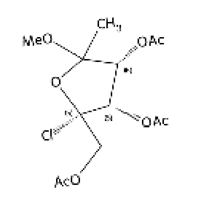 COC1(C)O[C@](Cl)(COC(C)=O)[C@@H](OC(C)=O)[C@H]1OC(C)=O